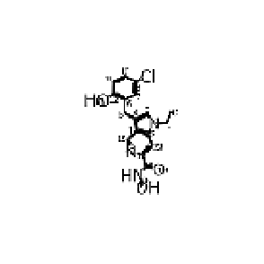 CCn1cc(Cc2cc(Cl)ccc2O)c2cnc(C(=O)NO)cc21